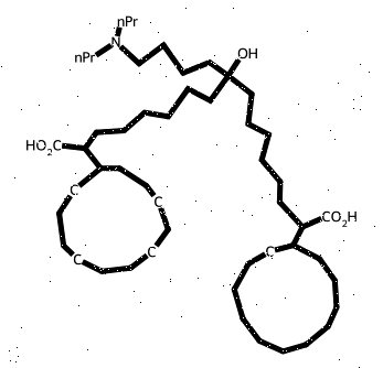 CCCN(CCC)CCCCC(O)(CCCCCCC(C(=O)O)C1CCCCCCCCCCC1)CCCCCCC(C(=O)O)C1CCCCCCCCCCC1